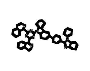 c1ccc(-n2c(-c3ccc(-c4ccc5c(c4)c4ccccc4n5-c4nc(-c5nccc6ccccc56)nc(-c5nccc6ccccc56)n4)cc3)nc3ccccc32)cc1